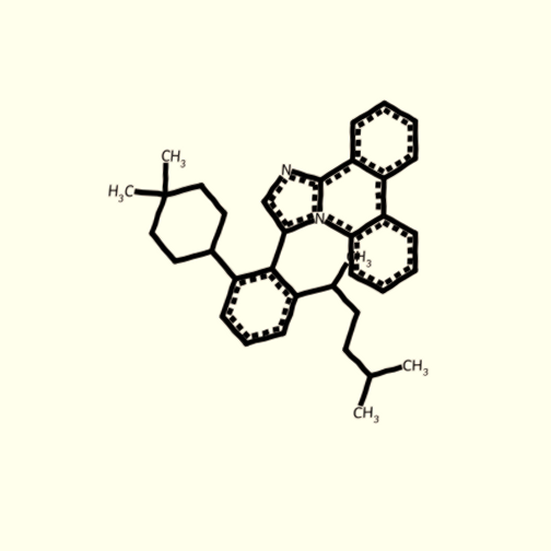 CC(C)CCC(C)c1cccc(C2CCC(C)(C)CC2)c1-c1cnc2c3ccccc3c3ccccc3n12